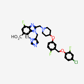 CCn1cncc1Cn1c(CN2CCC(Oc3ccc(F)c(COc4ccc(Cl)cc4F)c3)CC2)nc2c(F)cc(C(=O)O)cc21